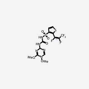 COC1=NC(NC(=O)NS(=O)(=O)c2ccsc2/C(F)=C(/F)C(F)(F)F)N=CN1OC